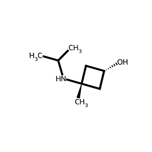 CC(C)N[C@]1(C)C[C@H](O)C1